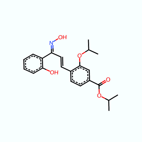 CC(C)OC(=O)c1ccc(/C=C/C(=N\O)c2ccccc2O)c(OC(C)C)c1